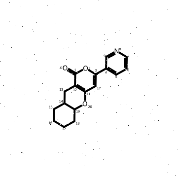 O=c1oc(-c2cccnc2)cc2c1CC1CCCCC1O2